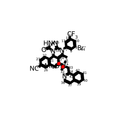 COC(=O)C1=C(C)N(c2cccc(C(F)(F)F)c2)c2n[nH]c(=O)n2C1c1ccc(C#N)cc1CC[N+](C)(C)Cc1nccc2ccccc12.[Br-]